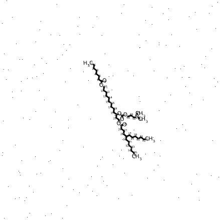 CCCCCCCC(=O)OCCCCCCCCCCC(CCOC(=O)CCCC(CCCCCCC)CCCCCCC)OC(=O)OCCCN(C)C